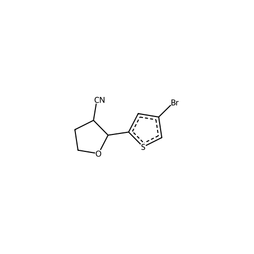 N#CC1CCOC1c1cc(Br)cs1